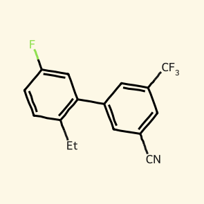 CCc1ccc(F)cc1-c1cc(C#N)cc(C(F)(F)F)c1